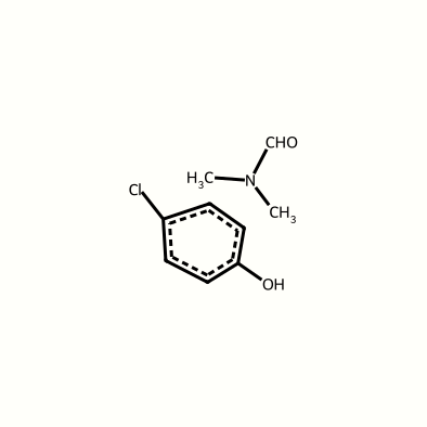 CN(C)C=O.Oc1ccc(Cl)cc1